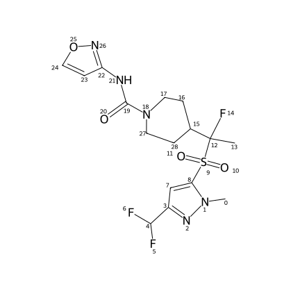 Cn1nc(C(F)F)cc1S(=O)(=O)C(C)(F)C1CCN(C(=O)Nc2ccon2)CC1